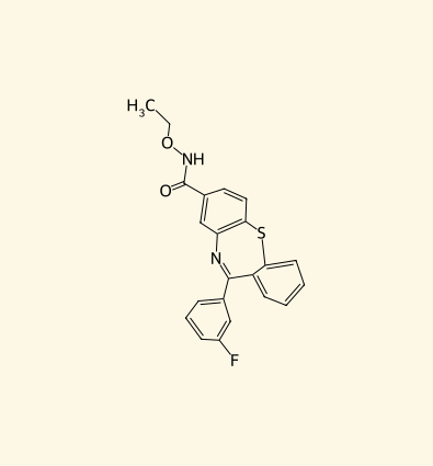 CCONC(=O)c1ccc2c(c1)N=C(c1cccc(F)c1)c1ccccc1S2